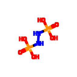 O=P(O)(O)NNP(=O)(O)O